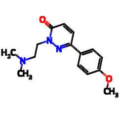 COc1ccc(-c2ccc(=O)n(CCN(C)C)n2)cc1